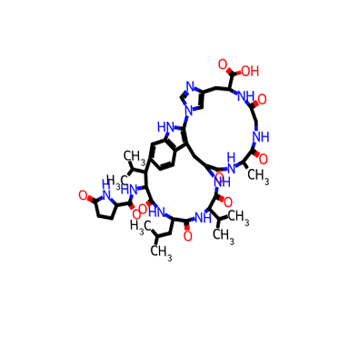 CC(C)CC1NC(=O)C(NC(=O)C2CCC(=O)N2)C(C(C)C)c2ccc3c4c([nH]c3c2)-n2cnc(c2)CC(C(=O)O)NC(=O)CNC(=O)C(C)NC(=O)C(C4)NC(=O)C(C(C)C)NC1=O